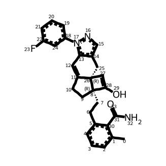 Cc1cccc(CC[C@]23CCC4=Cc5c(cnn5-c5cccc(F)c5)C[C@@]42C=C3O)c1C(N)=O